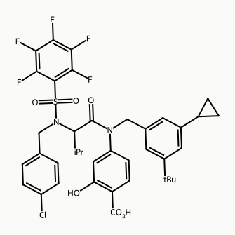 CC(C)C(C(=O)N(Cc1cc(C2CC2)cc(C(C)(C)C)c1)c1ccc(C(=O)O)c(O)c1)N(Cc1ccc(Cl)cc1)S(=O)(=O)c1c(F)c(F)c(F)c(F)c1F